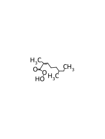 CCC(C)CCC=C(C)C(=O)OO